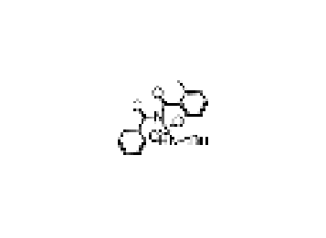 Cc1ccccc1C(=O)N(C(=O)c1ccccc1)S(=O)(=O)NC(C)(C)C